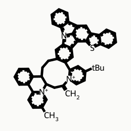 C=C1CC2C(CCc3cc4c(cc3-c3cc(C(C)(C)C)cc[n+]31)c1c3sc5ccccc5c3cc3c5ccccc5n4c31)c1ccccc1-c1ccc(C)c[n+]12